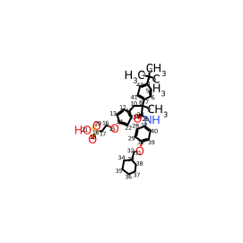 CC(C)(C)c1ccc(C(C)(Cc2ccc(OCCS(=O)(=O)O)cc2)C(=O)Nc2ccc(OCC3CCCCC3)cc2)cc1